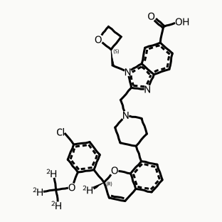 [2H]C([2H])([2H])Oc1cc(Cl)ccc1[C@@]1([2H])C=Cc2cccc(C3CCN(Cc4nc5ccc(C(=O)O)cc5n4C[C@@H]4CCO4)CC3)c2O1